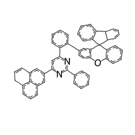 C1=CC2c3ccccc3C3(c4ccccc4Oc4ccc(-c5ccccc5-c5cc(-c6cc7c8c(cccc8c6)CC=C7)nc(-c6ccccc6)n5)cc43)C2C=C1